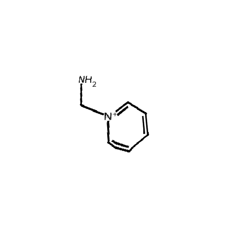 NC[n+]1ccccc1